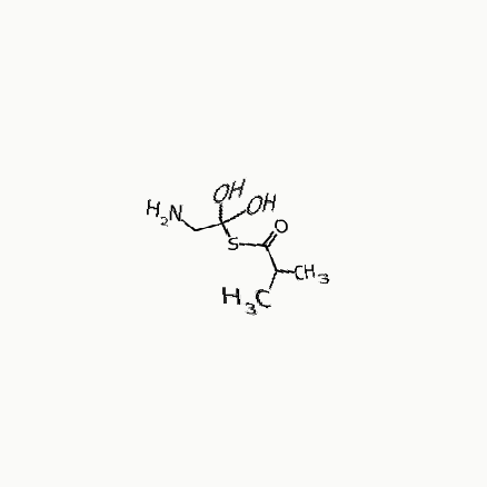 CC(C)C(=O)SC(O)(O)CN